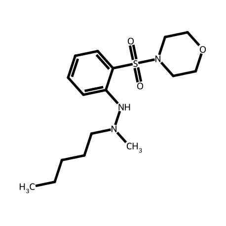 CCCCCN(C)Nc1ccccc1S(=O)(=O)N1CCOCC1